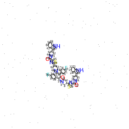 O=C(C(CN1CCC(c2nc(C(=O)N3CCC(c4c[nH]c5ccccc45)CC3)cs2)CC1)c1ccc(F)cc1)C(CN1CCC(c2nc(C(=O)N3CCC(c4c[nH]c5ccccc45)CC3)cs2)CC1)c1ccc(F)cc1